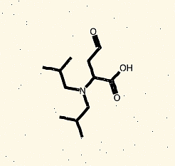 CC(C)CN(CC(C)C)C(CC=O)C(=O)O